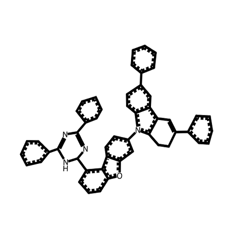 C1=C(c2ccccc2)CCc2c1c1cc(-c3ccccc3)ccc1n2-c1ccc2c(c1)oc1cccc(C3N=C(c4ccccc4)N=C(c4ccccc4)N3)c12